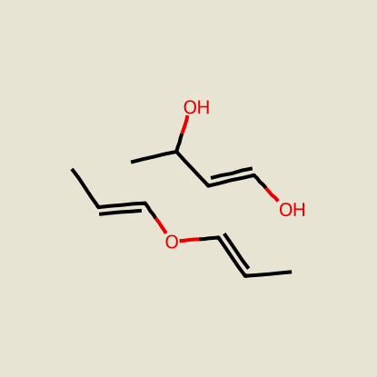 CC(O)C=CO.CC=COC=CC